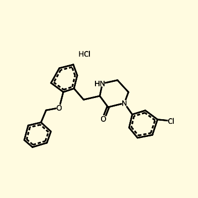 Cl.O=C1C(Cc2ccccc2OCc2ccccc2)NCCN1c1cccc(Cl)c1